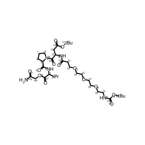 CC(C)C(NC(=O)C1CCCN1C(=O)C(CC(=O)OC(C)(C)C)NC(=O)CCOCCOCCOCCNC(=O)OC(C)(C)C)C(=O)OCC(N)=O